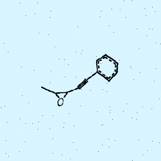 CC1OC1C#Cc1ccccc1